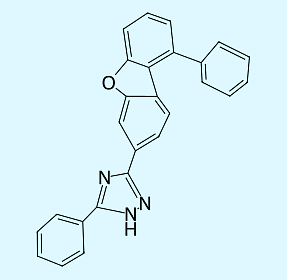 c1ccc(-c2nc(-c3ccc4c(c3)oc3cccc(-c5ccccc5)c34)n[nH]2)cc1